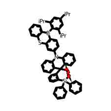 CC(C)c1cc(C(C)C)c(B2c3ccccc3Sc3cc(N4c5ccccc5C5(c6ccccc64)c4ccccc4[Si](c4ccccc4)(c4ccccc4)c4ccccc45)ccc32)c(C(C)C)c1